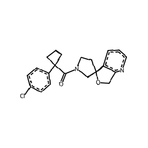 O=C(N1CCC2(C1)OCc1ncccc12)C1(c2ccc(Cl)cc2)CCC1